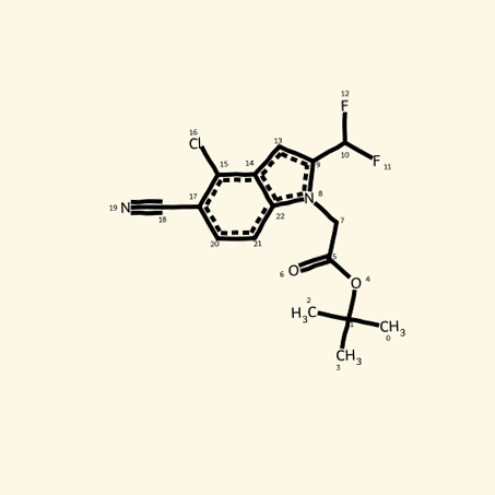 CC(C)(C)OC(=O)Cn1c(C(F)F)cc2c(Cl)c(C#N)ccc21